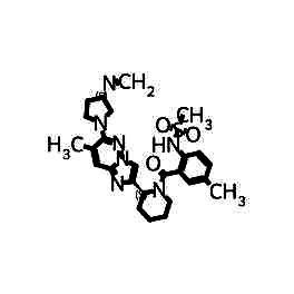 C=N[C@H]1CCN(c2nn3cc([C@@H]4CCCCN4C(=O)c4cc(C)ccc4NS(C)(=O)=O)nc3cc2C)C1